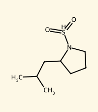 CC(C)CC1CCCN1[SH](=O)=O